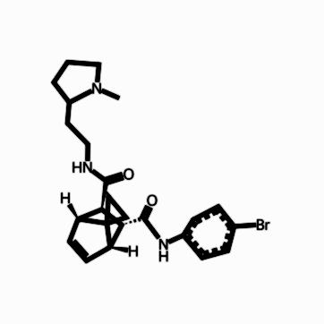 CN1CCCC1CCNC(=O)[C@H]1[C@H](C(=O)Nc2ccc(Br)cc2)[C@@H]2C=C[C@H]1C21CC1